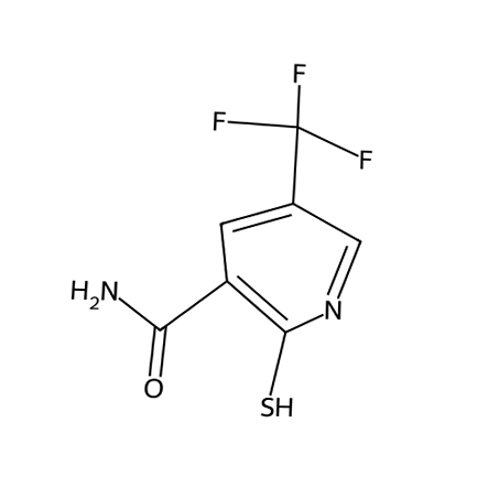 NC(=O)c1cc(C(F)(F)F)cnc1S